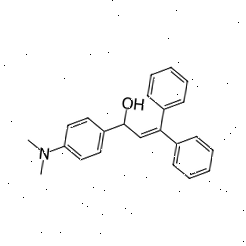 CN(C)c1ccc(C(O)C=C(c2ccccc2)c2ccccc2)cc1